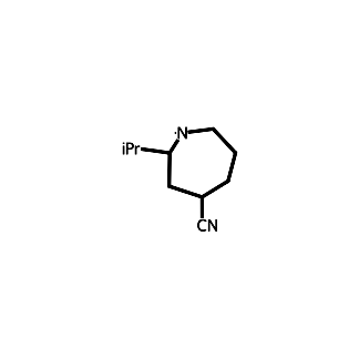 CC(C)C1CC(C#N)CCC[N]1